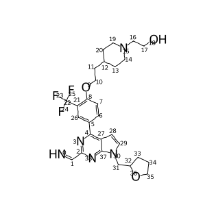 N=Cc1nc(-c2ccc(OCCC3CCN(CCO)CC3)c(C(F)(F)F)c2)c2ccn(CC3CCCO3)c2n1